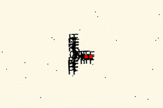 O=P(OCC(F)(F)C(F)(F)C(F)(F)C(F)F)(OCC(F)(F)C(F)(F)C(F)(F)C(F)F)OCC(F)(F)C(F)(F)C(F)(F)C(F)F